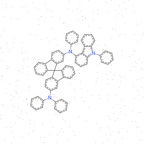 c1ccc(N(c2ccccc2)c2ccc3c(c2)-c2ccccc2C32c3ccccc3-c3ccc(N(c4ccccc4)c4cccc5c4c4ccccc4n5-c4ccccc4)cc32)cc1